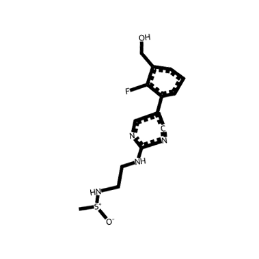 C[S+]([O-])NCCNc1ncc(-c2cccc(CO)c2F)cn1